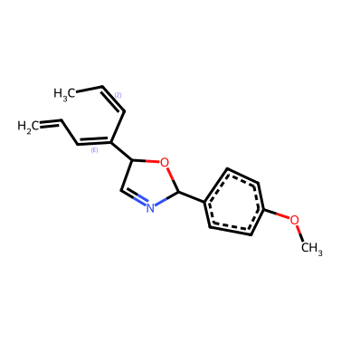 C=C/C=C(\C=C/C)C1C=NC(c2ccc(OC)cc2)O1